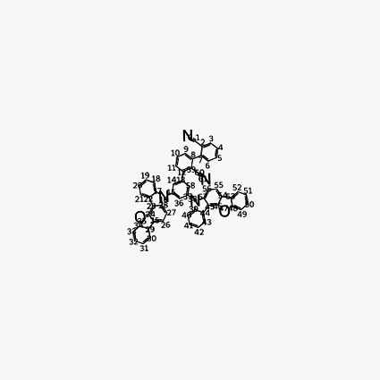 N#Cc1ccccc1-c1cccc(-c2cc(-n3c4ccccc4c4c5c(ccc43)C3C=CC=CC3O5)cc(-n3c4ccccc4c4c5oc6ccccc6c5ccc43)c2)c1C#N